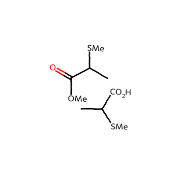 COC(=O)C(C)SC.CSC(C)C(=O)O